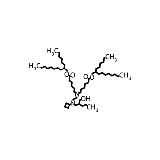 CCCCCCCCC(CCCCCC)COC(=O)CCCCCN(CCCCCC(=O)OCC(CCCCCC)CCCCCCCC)CCN(CC(CO)CCC)C1CCC1